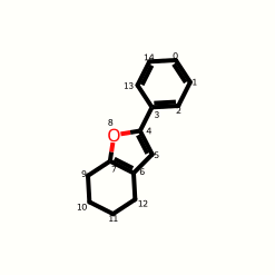 c1ccc(-c2cc3c(o2)CCCC3)cc1